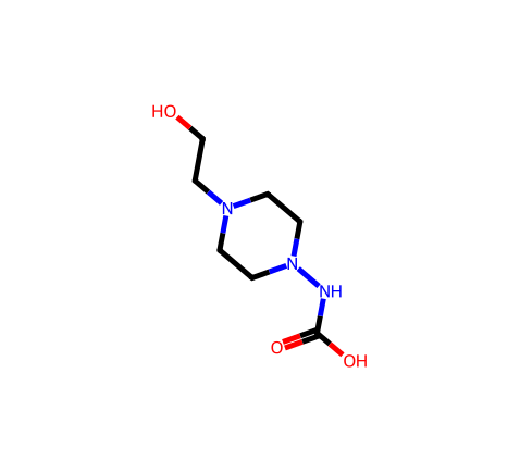 O=C(O)NN1CCN(CCO)CC1